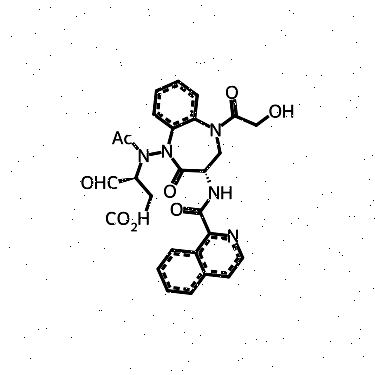 CC(=O)N([C@H](C=O)CC(=O)O)N1C(=O)[C@@H](NC(=O)c2nccc3ccccc23)CN(C(=O)CO)c2ccccc21